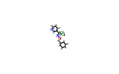 Cl.Cl/C(=N\OCc1ccccc1)c1cccnc1